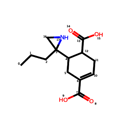 CCCC1(C2CC(C(=O)O)=CCC2C(=O)O)CN1